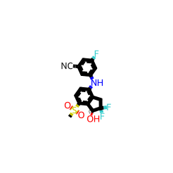 CS(=O)(=O)c1ccc(Nc2cc(F)cc(C#N)c2)c2c1[C@H](O)C(F)(F)C2